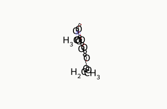 C=C(C)C(=O)OCCCCCCOc1ccc2cc(C(=O)Oc3ccc(C(=O)Oc4ccc(/C=C/C(=O)OCC5CCCC5)cc4OC)cc3)ccc2c1